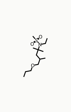 CCCOCC(C)CC(C)(C)N(CC)S(C)(=O)=O